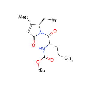 COC1=CC(=O)N(C(=O)[C@H](CCC(Cl)(Cl)Cl)NC(=O)OC(C)(C)C)[C@@H]1CC(C)C